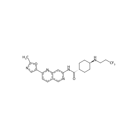 Cc1ncc(-c2ccc3cnc(NC(=O)[C@H]4CC[C@H](NCCC(F)(F)F)CC4)cc3n2)o1